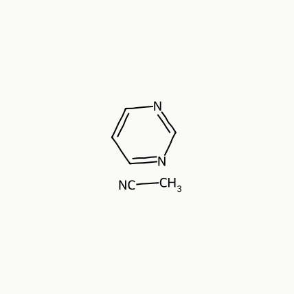 CC#N.c1cncnc1